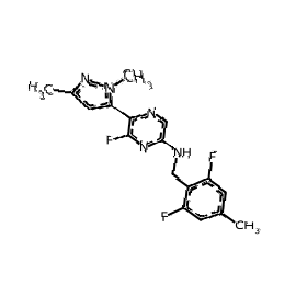 Cc1cc(F)c(CNc2cnc(-c3cc(C)nn3C)c(F)n2)c(F)c1